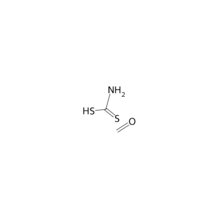 C=O.NC(=S)S